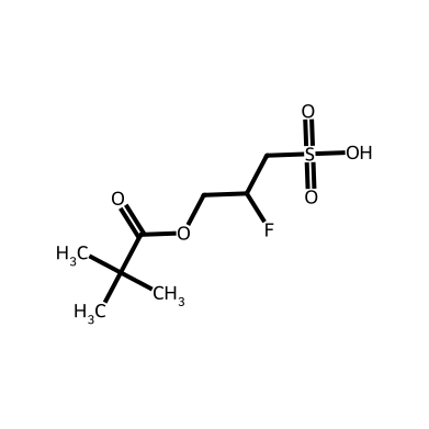 CC(C)(C)C(=O)OCC(F)CS(=O)(=O)O